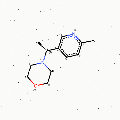 Cc1ccc([C@H](C)N2CCOCC2)cn1